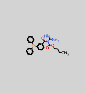 CCCCOC(=O)N(C(=N)N)C(=O)c1cccc(P(c2ccccc2)c2ccccc2)c1